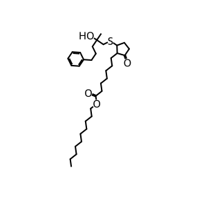 CCCCCCCCCCOC(=O)CCCCCCC1C(=O)CCC1SCC(C)(O)CCCc1ccccc1